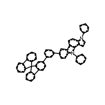 c1ccc(-n2ccc3c2ccc2c4cc(-c5cccc(-c6ccc7c(c6)C6(c8ccccc8-c8ccccc86)c6ccccc6-7)c5)ccc4n(-c4ccccc4)c23)cc1